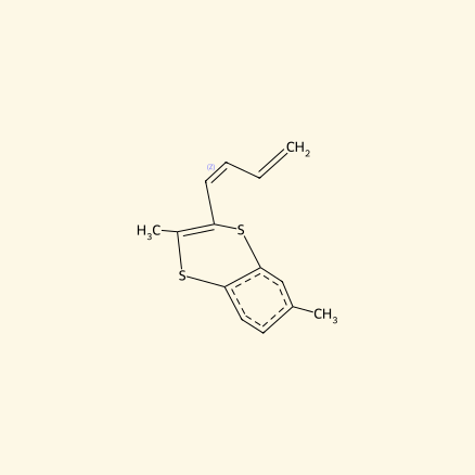 C=C/C=C\C1=C(C)Sc2ccc(C)cc2S1